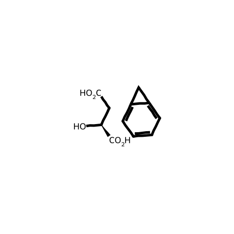 O=C(O)C[C@H](O)C(=O)O.c1ccc2c(c1)C2